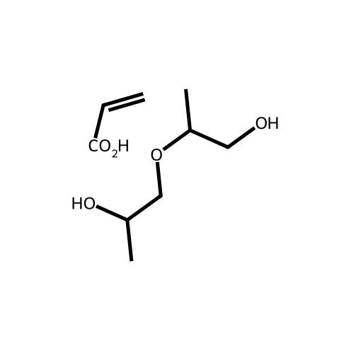 C=CC(=O)O.CC(O)COC(C)CO